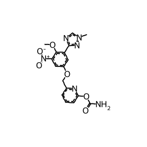 COc1c(-c2ncn(C)n2)cc(OCc2cccc(OC(N)=O)n2)cc1[N+](=O)[O-]